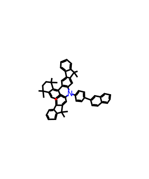 CC1(C)CCC(C)(C)c2c(-c3cc4c(cc3N(c3ccc(-c5ccc6ccccc6c5)cc3)c3ccc5c(c3)C(C)(C)c3ccccc3-5)C(C)(C)c3ccccc3-4)cccc21